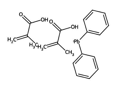 C=C(C)C(=O)O.C=C(C)C(=O)O.c1cc[c]([Pb][c]2ccccc2)cc1